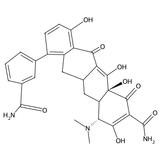 CN(C)[C@H]1C(O)=C(C(N)=O)C(=O)[C@@]2(O)C(O)=C3C(=O)c4c(O)ccc(-c5cccc(C(N)=O)c5)c4CC3CC12